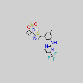 Cc1cc(Nc2nccc(C(F)(F)F)n2)cc(-c2cnc(C3(NS(C)(=O)=O)CCC3)s2)c1